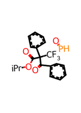 CC(C)OC(=O)C(C(=O)c1ccccc1)(c1ccccc1)C(F)(F)F.O=P